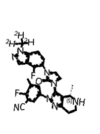 [2H]C([2H])([2H])n1ncc2c(F)c(-n3ccn(-c4c5c(nn4-c4cc(C)c(F)c(C#N)c4)CCN[C@H]5C)c3=O)ccc21